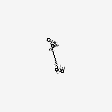 CCN(Cc1cc(C(=O)OCCCCCCCCCOC(=O)Cc2ccccc2Nc2c(Cl)cccc2Cl)cc(Br)c1N)C1CCCCC1